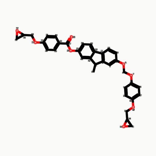 CC1c2cc(OCOc3ccc(OCC4CO4)cc3)ccc2-c2ccc(OC(=O)c3ccc(OCC4CO4)cc3)cc21